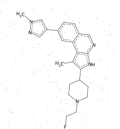 Cc1c(C2CCN(CCF)CC2)[nH]c2ncc3ccc(-c4cnn(C)c4)cc3c12